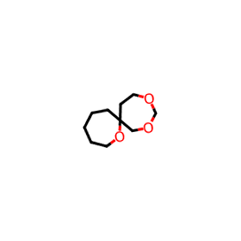 C1CCOC2(CC1)CCOCOC2